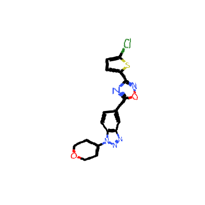 Clc1ccc(-c2noc(-c3ccc4c(c3)nnn4C3CCOCC3)n2)s1